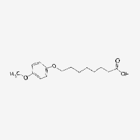 COc1ccc(OCCCCCCCC(=O)O)cc1